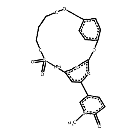 Cn1cc(-c2cc3nc(n2)Oc2ccc(cc2)OCCCCCS(=O)(=O)N3)ccc1=O